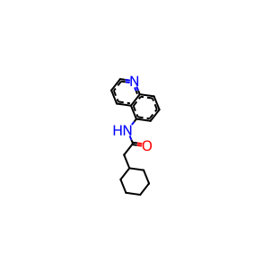 O=C(CC1CCCCC1)Nc1cccc2ncccc12